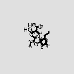 CCc1cc(F)c(F)c2c1N(C=C(C(=O)O)C(=O)O)C(C)[C@H](CC)O2